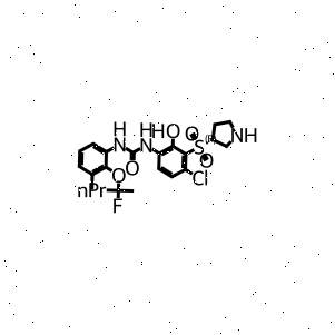 CCCC(C)(F)Oc1c(C)cccc1NC(=O)Nc1ccc(Cl)c(S(=O)(=O)[C@@H]2CCNC2)c1O